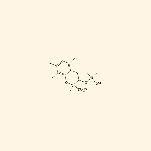 Cc1cc(C)c2c(c1C)OC(C)(C(=O)O)C(O[Si](C)(C)C(C)(C)C)C2